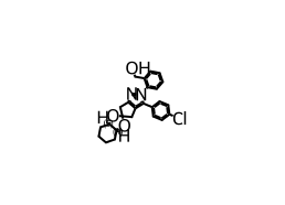 OCc1ccccc1-n1nc2c(c1-c1ccc(Cl)cc1)CC1(C2)O[C@H]2CCCC[C@H]2O1